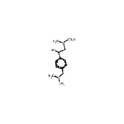 CN(C)Cc1ccc(C(O)CN(C)C(=O)O)cc1